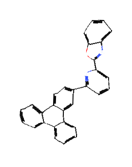 c1cc(-c2ccc3c4ccccc4c4ccccc4c3c2)nc(-c2nc3ccccc3o2)c1